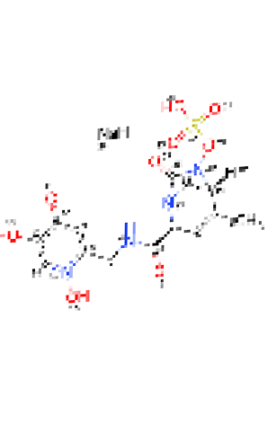 CC1=C[C@@H](C(=O)NCc2cc(=O)c(O)cn2O)N2C[C@@H]1N(OS(=O)(=O)O)C2=O.[NaH]